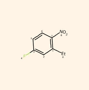 CCc1cc(F)ccc1[N+](=O)[O-]